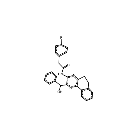 O=C(Cc1ccc(F)cc1)Nc1nc2c(nc1C(O)c1ccccc1)-c1ccccc1CC2